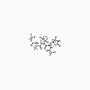 CC(C)(C)[C@H](NC(=O)[C@@H]1CC1(F)F)C(=O)N1C[C@@H]2CCC[C@@H]2[C@H]1C(=O)NN(C[C@H]1C(=O)N[C@H]2C[C@H]21)C(=O)[C@H](F)Cl